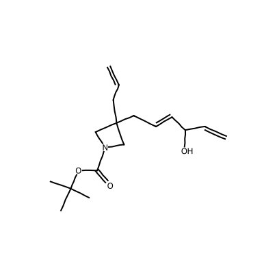 C=CCC1(CC=CC(O)C=C)CN(C(=O)OC(C)(C)C)C1